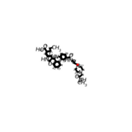 CCc1cc2c(cc1C(=O)O)NC(=O)C2=C(Nc1ccc(C(=O)NOCCN2CCN(CC(=O)NC)CC2)cc1)c1ccccc1